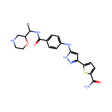 CCC(NC(=O)c1ccc(Nc2cc(-c3ccc(C(N)=O)s3)n[nH]2)cc1)C1CNCCO1